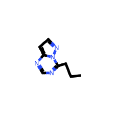 CCCc1ncnc2ccnn12